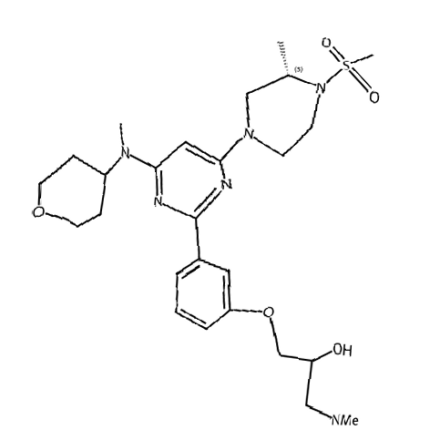 CNCC(O)COc1cccc(-c2nc(N3CCN(S(C)(=O)=O)[C@@H](C)C3)cc(N(C)C3CCOCC3)n2)c1